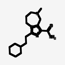 CN1CCCn2c(CCC3CCCCC3)nc(C(N)=O)c2C1